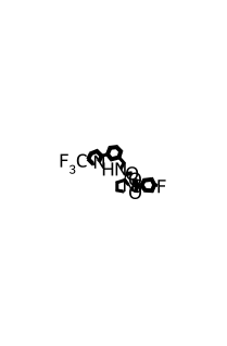 O=C(NCc1cccc(-c2ccc(C(F)(F)F)cn2)c1)[C@@H]1CCCN1S(=O)(=O)c1ccc(F)cc1